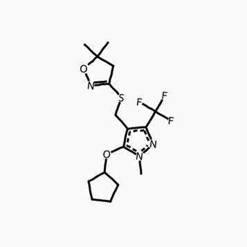 Cn1nc(C(F)(F)F)c(CSC2=NOC(C)(C)C2)c1OC1CCCC1